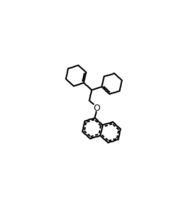 C1=C(C(COc2cccc3ccccc23)C2=CCCCC2)CCCC1